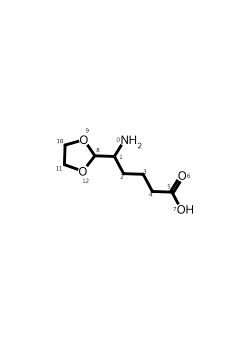 NC(CCCC(=O)O)C1OCCO1